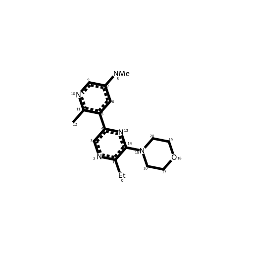 CCc1ncc(-c2cc(NC)cnc2C)nc1N1CCOCC1